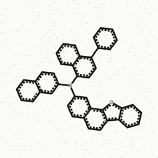 c1ccc(-c2ccc(N(c3ccc4ccccc4c3)c3ccc4ccc5c6ccccc6oc5c4c3)c3ccccc23)cc1